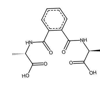 C[C@H](NC(=O)c1ccccc1C(=O)N[C@@H](C)C(=O)O)C(=O)O